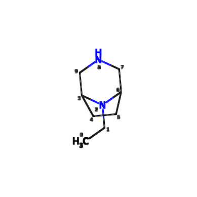 CCN1C2CCC1CNC2